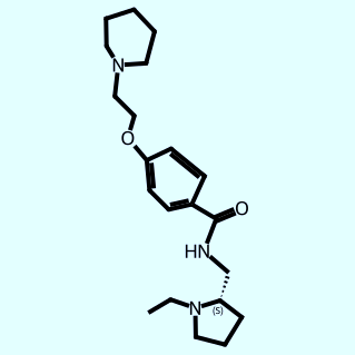 CCN1CCC[C@H]1CNC(=O)c1ccc(OCCN2CCCCC2)cc1